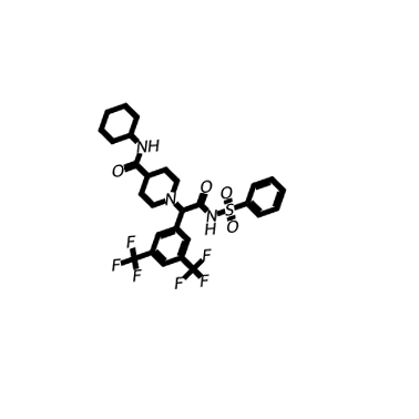 O=C(NC1CCCCC1)C1CCN(C(C(=O)NS(=O)(=O)c2ccccc2)c2cc(C(F)(F)F)cc(C(F)(F)F)c2)CC1